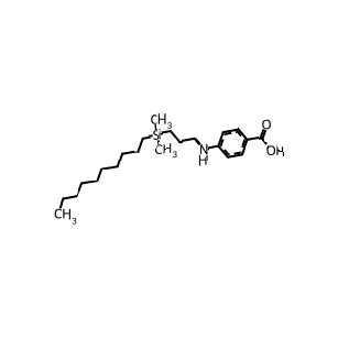 CCCCCCCCCC[Si](C)(C)CCCNc1ccc(C(=O)O)cc1